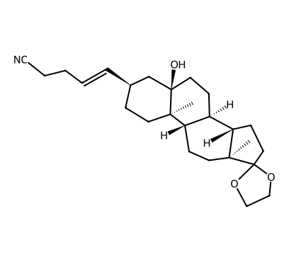 C[C@]12CC[C@H]3[C@@H](CC[C@@]4(O)C[C@H](/C=C/CCC#N)CC[C@]34C)[C@@H]1CCC21OCCO1